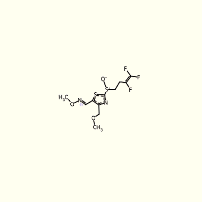 COCc1nc([S+]([O-])CCC(F)=C(F)F)sc1/C=N/OC